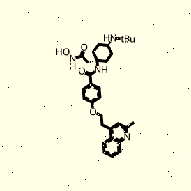 Cc1cc(CCOc2ccc(C(=O)N[C@]3(CC(=O)NO)CC[C@H](NC(C)(C)C)CC3)cc2)c2ccccc2n1